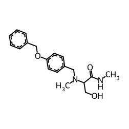 CNC(=O)C(CO)N(C)Cc1ccc(OCc2ccccc2)cc1